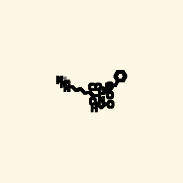 [N-]=[N+]=NCC=CCC(C(=O)O)=C1O[C@@H]2CC(=O)N2C1OC(=O)OCc1ccccc1